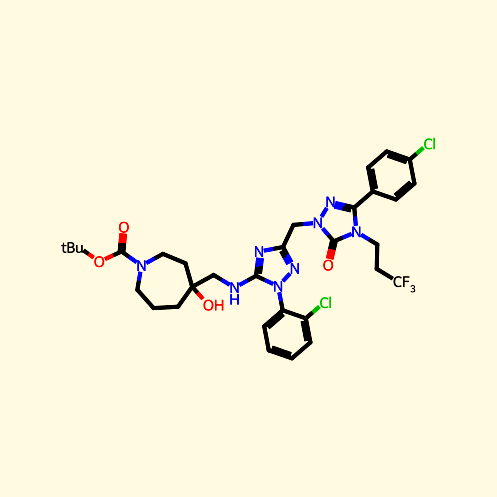 CC(C)(C)OC(=O)N1CCCC(O)(CNc2nc(Cn3nc(-c4ccc(Cl)cc4)n(CCC(F)(F)F)c3=O)nn2-c2ccccc2Cl)CC1